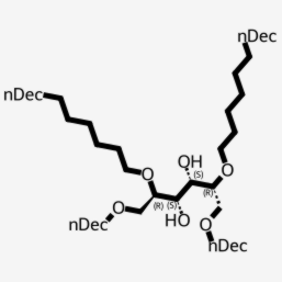 CCCCCCCCCCCCCCCCO[C@H](COCCCCCCCCCC)[C@@H](O)[C@H](O)[C@@H](COCCCCCCCCCC)OCCCCCCCCCCCCCCCC